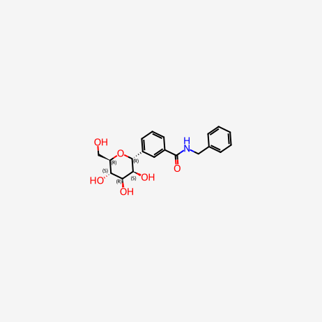 O=C(NCc1ccccc1)c1cccc([C@H]2O[C@H](CO)[C@@H](O)[C@H](O)[C@@H]2O)c1